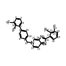 Fc1cccc(-c2ccc(Cn3ccc4nc(-c5cccc(F)c5F)nc-4c3)cc2)c1F